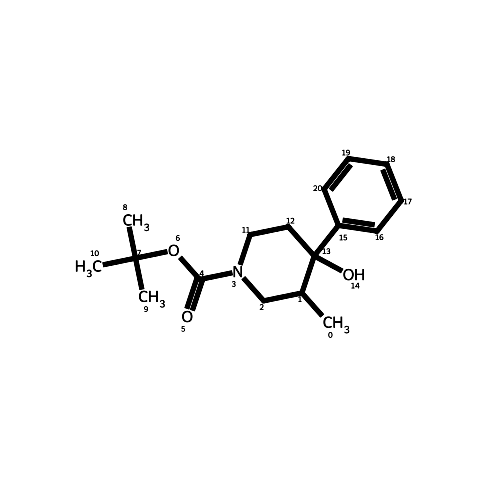 CC1CN(C(=O)OC(C)(C)C)CCC1(O)c1ccccc1